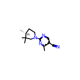 Cc1nc(N2CC[C@@H](C)C(C)(C)C2)ncc1C#N